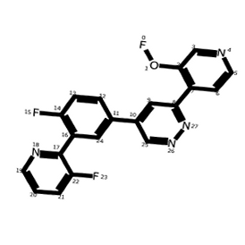 FOc1cnccc1-c1cc(-c2ccc(F)c(-c3ncccc3F)c2)cnn1